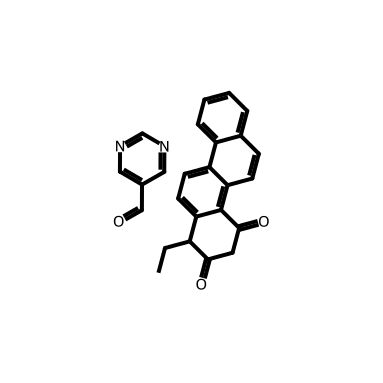 CCC1C(=O)CC(=O)c2c1ccc1c2ccc2ccccc21.O=Cc1cncnc1